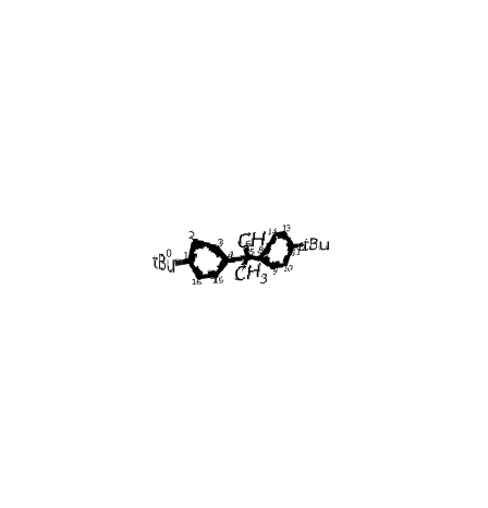 CC(C)(C)c1ccc(C(C)(C)c2ccc(C(C)(C)C)cc2)cc1